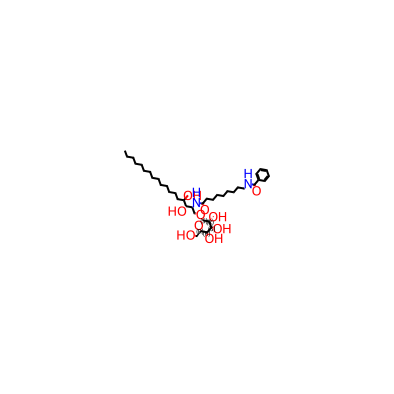 CCCCCCCCCCCCCCC(O)C(O)C(CO[C@H]1O[C@H](CO)[C@H](O)[C@H](O)[C@H]1O)NC(=O)CCCCCCCCNC(=O)c1ccccc1